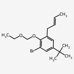 CC=CCc1cc(C(C)(C)C)cc(Br)c1OCOCC